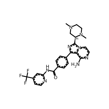 CN1CCN(C)[C@@H](c2nc(-c3ccc(C(=O)Nc4cc(C(F)(F)F)ccn4)cc3)c3c(N)nccn23)C1